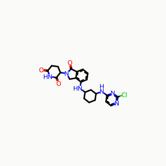 O=C1CCC(N2Cc3c(NC4CCCC(Nc5ccnc(Cl)n5)C4)cccc3C2=O)C(=O)N1